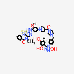 CCOc1cc(N2CCC(C(=O)N3CCN(Cc4ccc(-n5c(O)nnc5-c5cc(CC)c(O)cc5O)cc4)CC3)CC2)ccc1Nc1ncc2c(n1)N(S)c1ccccc1C(=O)N2C